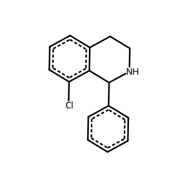 Clc1cccc2c1C(c1ccccc1)NCC2